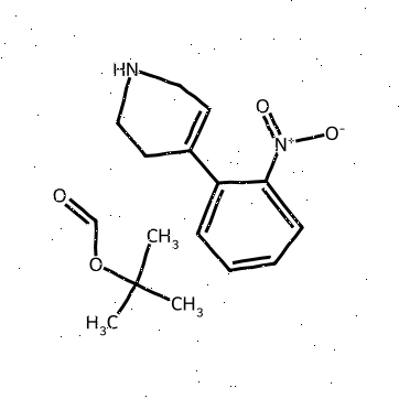 CC(C)(C)OC=O.O=[N+]([O-])c1ccccc1C1=CCNCC1